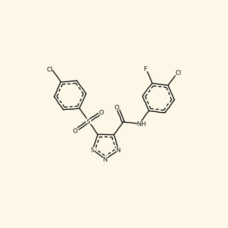 O=C(Nc1ccc(Cl)c(F)c1)c1nnsc1S(=O)(=O)c1ccc(Cl)cc1